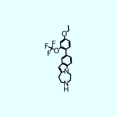 CCOc1ccc(-c2ccc3c(c2)cc2n3CCNCC2)c(OC(F)(F)F)c1